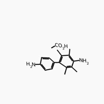 CC(=O)O.Cc1c(C)c(-c2ccc(N)cc2)c(C)c(C)c1N